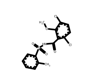 COc1c(Cl)ccc(Cl)c1C(=O)NS(=O)(=O)c1ccccc1C